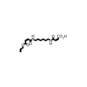 C=CCOC(=O)/C=C\C(=O)NCCCCCCNC(=O)/C=C\C(=O)O